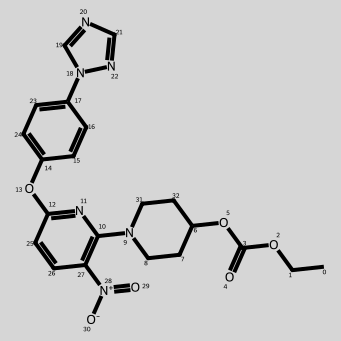 CCOC(=O)OC1CCN(c2nc(Oc3ccc(-n4cncn4)cc3)ccc2[N+](=O)[O-])CC1